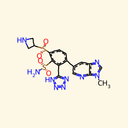 Cn1cnc2cc(-c3ccc(S(=O)(=O)C4CNC4)c(S(N)(=O)=O)c3-c3nnn[nH]3)cnc21